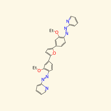 CCOc1cc(-c2ccc(-c3ccc(/N=N/c4ccccn4)c(OCC)c3)o2)ccc1/N=N/c1ccccn1